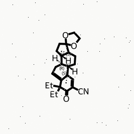 CCC1(CC)C(=O)C(C#N)=C[C@@]2(C)C1=CC[C@@H]1[C@@H]2CC[C@@]2(C)[C@H]1CCC21OCCO1